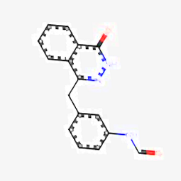 O=CNc1cccc(Cc2n[nH]c(=O)c3ccccc23)c1